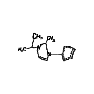 CC(C)N1C=CN(c2ccccc2)C1C